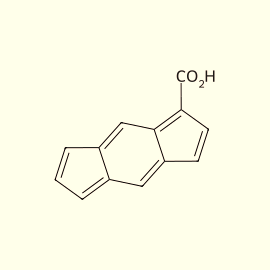 O=C(O)C1=c2cc3c(cc2C=C1)=CC=C3